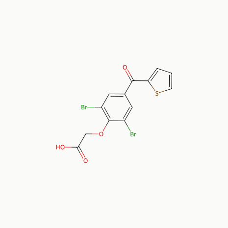 O=C(O)COc1c(Br)cc(C(=O)c2cccs2)cc1Br